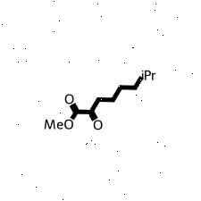 COC(=O)C(=O)CCCCC(C)C